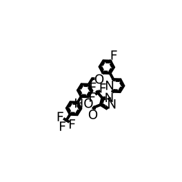 O=C(O)c1cnn(-c2cccc(-c3cc(F)ccc3OCc3ccc(-c4ccc(C(F)(F)F)cc4)cc3)n2)c1C(F)(F)F